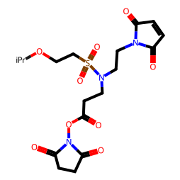 CC(C)OCCS(=O)(=O)N(CCC(=O)ON1C(=O)CCC1=O)CCN1C(=O)C=CC1=O